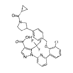 O=C(O)c1cnn(-c2cccc(-c3cccc(Cl)c3OCc3ccc(C4CCN(C(=O)C5CC5)C4)cc3)n2)c1C(F)(F)F